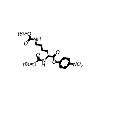 CC(C)(C)OC(=O)NCCCC[C@H](NC(=O)OC(C)(C)C)C(=O)Oc1ccc([N+](=O)[O-])cc1